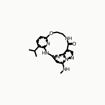 CNc1cc2nc3c(cnn13)C(=O)NCCOc1ccc(C(C)C)c(n1)N2